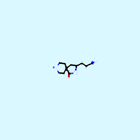 CN1CCC2(CC1)CC(CCC#N)NC2=O